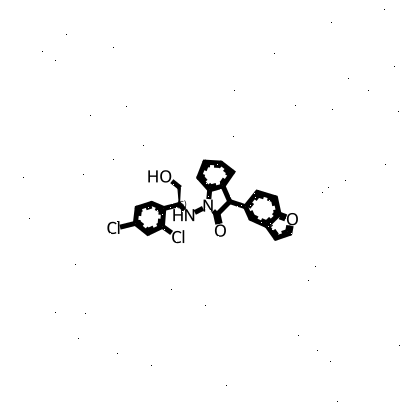 O=C1C(c2ccc3occc3c2)c2ccccc2N1N[C@H](CO)c1ccc(Cl)cc1Cl